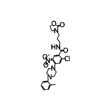 Cc1ccccc1N1CCN(c2cc(Cl)c(C(=O)NCCCN3CCOC3=O)cc2[N+](=O)[O-])CC1